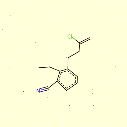 C=C(Cl)C[CH]c1cccc(C#N)c1CC